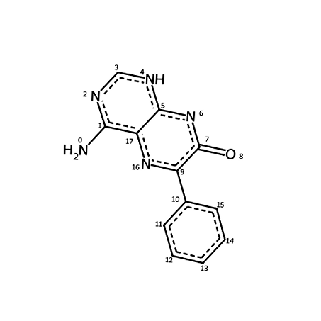 Nc1nc[nH]c2nc(=O)c(-c3ccccc3)nc1-2